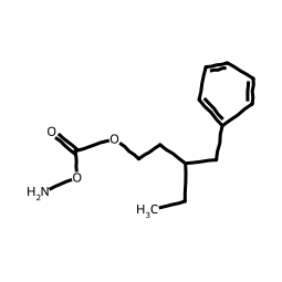 CCC(CCOC(=O)ON)Cc1ccccc1